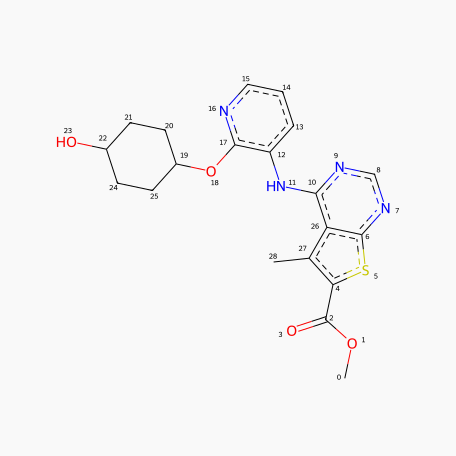 COC(=O)c1sc2ncnc(Nc3cccnc3OC3CCC(O)CC3)c2c1C